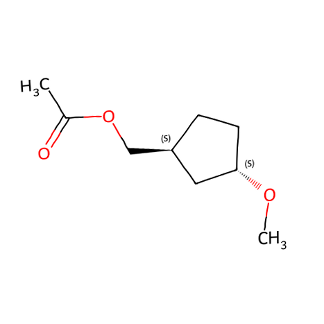 CO[C@H]1CC[C@H](COC(C)=O)C1